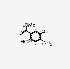 COC(=O)c1cc(Cl)c(N)cc1O